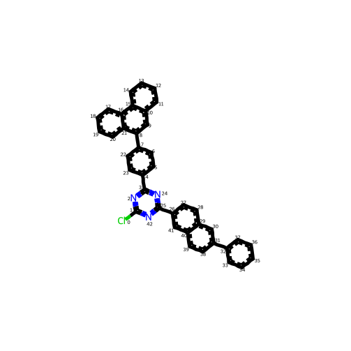 Clc1nc(-c2ccc(-c3cc4ccccc4c4ccccc34)cc2)nc(-c2ccc3cc(-c4ccccc4)ccc3c2)n1